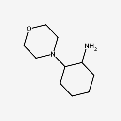 NC1CCCCC1N1CCOCC1